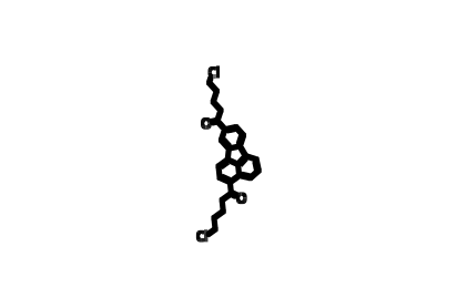 O=C(CCCCCl)c1ccc2c(c1)-c1ccc(C(=O)CCCCCl)c3cccc-2c13